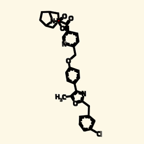 Cc1oc(Cc2cccc(Cl)c2)nc1-c1ccc(OCc2ccc(C(=O)N3CC4CCC(C3)N4C(=O)O)cn2)cc1